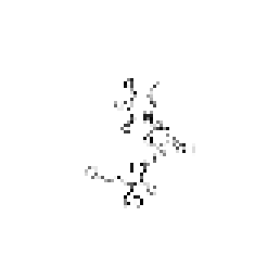 Cc1cn([C@H]2C[C@H](O)[C@@H](CNC(=O)N(CCCl)N=O)O2)c(=O)[nH]c1=O